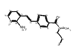 CN(CCF)C(=O)c1ccc(/C=C/c2cccnc2N)cc1